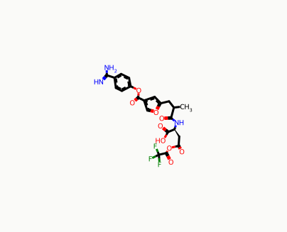 CC(Cc1cc(C(=O)Oc2ccc(C(=N)N)cc2)co1)C(=O)N[C@@H](CC(=O)OC(=O)C(F)(F)F)C(=O)O